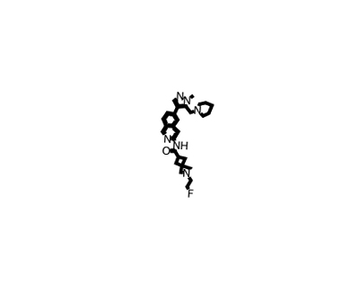 Cn1ncc(-c2ccc3cnc(NC(=O)C4CC5(C4)CN(CCF)C5)cc3c2)c1CN1CCCCC1